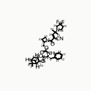 CC1(C)[C@@H]2C[C@H]3OB([C@H](Cc4ccccc4)NC(=O)OC[C@H]4CCN4C(=O)C(C#N)=CC(C)(C)N4CCC(F)(F)C4)O[C@@]3(C)[C@H]1C2